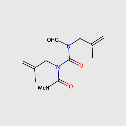 C=C(C)CN(C=O)C(=O)N(CC(=C)C)C(=O)NC